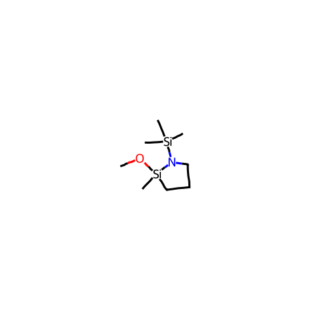 CO[Si]1(C)CCCN1[Si](C)(C)C